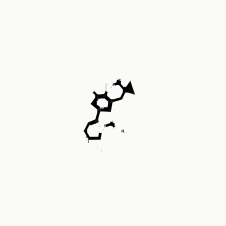 C[C@H]1CC=C(c2cc(F)c3c(c2)CC2(CC2)C(=O)N3)N(C(=O)OC(C)(C)C)C1